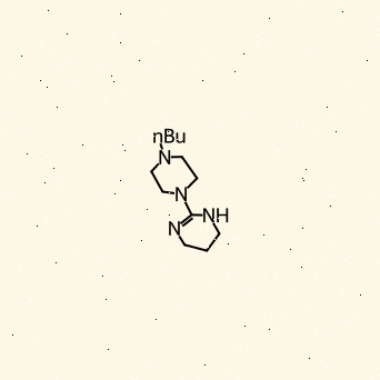 CCCCN1CCN(C2=NCCCN2)CC1